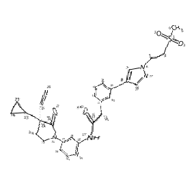 CS(=O)(=O)CCn1cc(-c2cccc(CC(=O)Nc3cc(N4CC[C@@](C#N)(C5CC5)C4=O)ccn3)c2)cn1